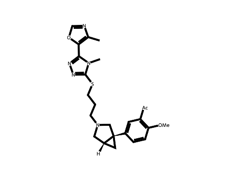 COc1ccc([C@@]23C[C@@H]2CN(CCCSc2nnc(-c4ocnc4C)n2C)C3)cc1C(C)=O